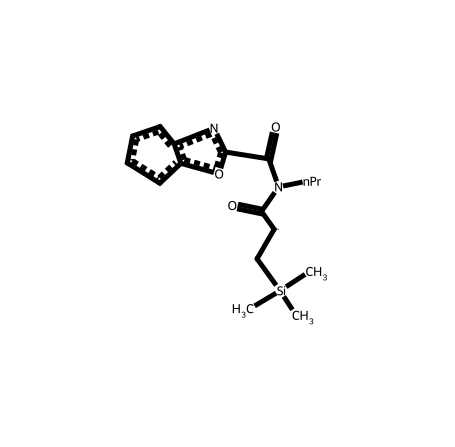 CCCN(C(=O)[CH]C[Si](C)(C)C)C(=O)c1nc2ccccc2o1